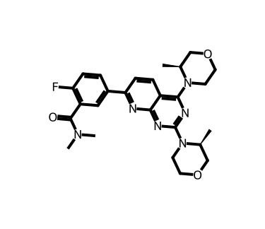 C[C@H]1COCCN1c1nc(N2CCOC[C@@H]2C)c2ccc(-c3ccc(F)c(C(=O)N(C)C)c3)nc2n1